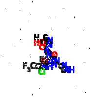 CCc1c(N2CCN(C(=O)c3ncnc(C)c3O)CC2)c(=O)n2nc(-c3cnc4[nH]ccc4c3)nc2n1CC(=O)Nc1ccc(C(F)(F)F)cc1Cl